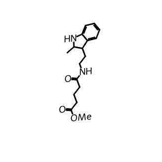 COC(=O)CCCC(=O)NCCC1c2ccccc2NC1C